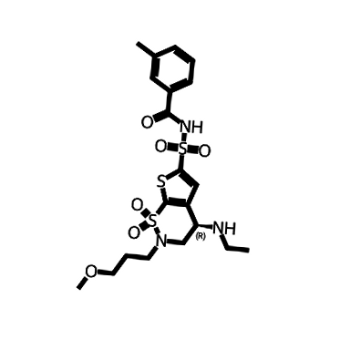 CCN[C@H]1CN(CCCOC)S(=O)(=O)c2sc(S(=O)(=O)NC(=O)c3cccc(C)c3)cc21